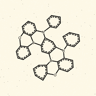 c1ccc(N2c3cc4c(cc3B3c5ccccc5Oc5cccc2c53)B2c3ccccc3Oc3cccc(c32)N4c2ccccc2)cc1